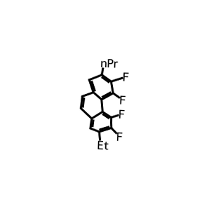 CCCc1cc2ccc3cc(CC)c(F)c(F)c3c2c(F)c1F